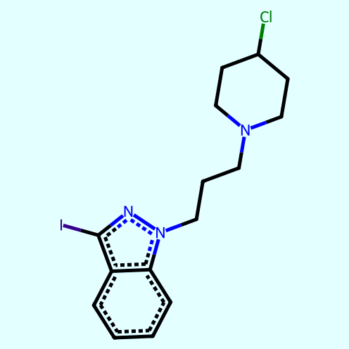 ClC1CCN(CCCn2nc(I)c3ccccc32)CC1